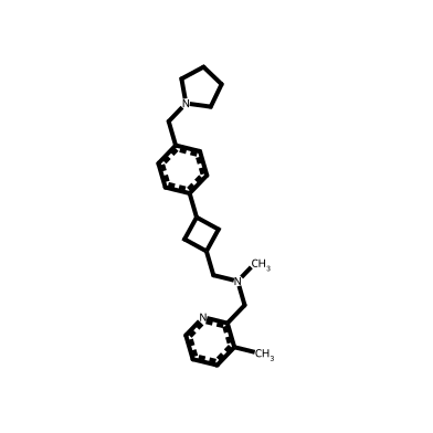 Cc1cccnc1CN(C)CC1CC(c2ccc(CN3CCCC3)cc2)C1